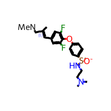 CNC/C(C)=C/c1cc(F)c(Oc2ccc([S+]([O-])NCCN(C)C)cc2)c(F)c1